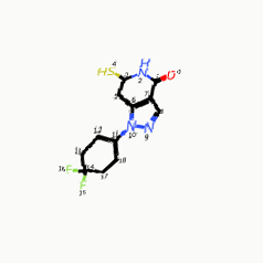 O=C1NC(S)Cc2c1cnn2C1CCC(F)(F)CC1